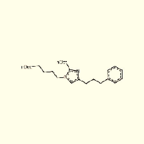 CCCCCCCCCCCCCCn1cc(CCCc2ccccc2)nc1CCCCCCCC